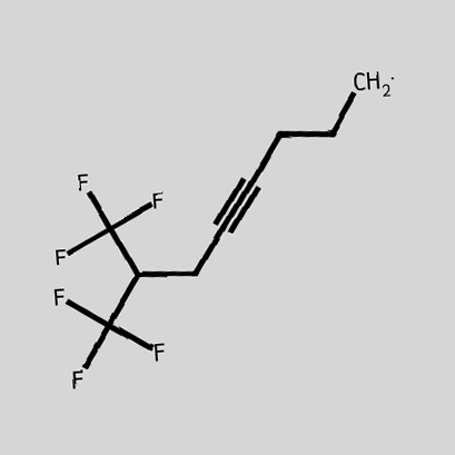 [CH2]CCC#CCC(C(F)(F)F)C(F)(F)F